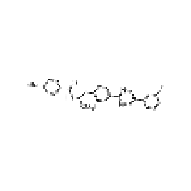 CC(C)(C)c1ccc(C(=O)N[C@@H](Cc2ccc(-c3ncc(-c4cccc(F)c4)cn3)cc2)C(=O)O)cc1